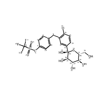 O=S(=O)(Oc1ccc(Cc2cc([C@]3(O)O[C@H](CO)[C@@H](O)[C@H](O)[C@H]3O)ccc2Cl)cc1)C(F)(F)F